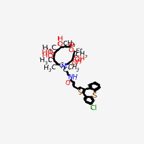 CC[C@H]1OC(=O)[C@H](C)[C@@H](O)[C@H](C)[C@@H](O)[C@](C)(O)C[C@@H](C)CN(CCCNC(=O)/C=C/c2cc3c(s2)-c2ccc(Cl)cc2Sc2ccccc2-3)[C@H](C)[C@@H](O)[C@]1(C)O